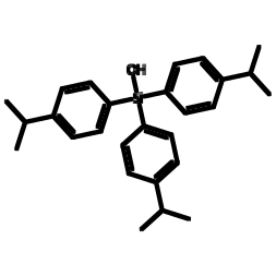 CC(C)c1ccc([Si](O)(c2ccc(C(C)C)cc2)c2ccc(C(C)C)cc2)cc1